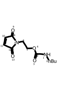 CCCCNC(=O)OCCN1C(=O)C=CC1=O